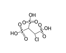 O=S(=O)(O)C(Cl)C(S(=O)(=O)O)S(=O)(=O)O